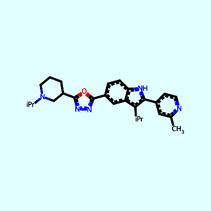 Cc1cc(-c2[nH]c3ccc(-c4nnc(C5CCCN(C(C)C)C5)o4)cc3c2C(C)C)ccn1